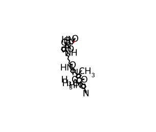 CCc1cc2c(cc1N1CCC(NC(=O)CCCCCNc3cccc4c3C(=O)N(C3CCC(=O)NC3=O)C4=O)CC1)C(C)(C)c1[nH]c3cc(C#N)ccc3c1C2=O